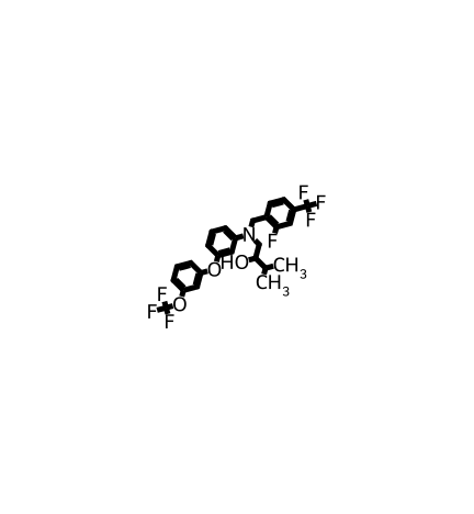 CC(C)C(O)CN(Cc1ccc(C(F)(F)F)cc1F)c1cccc(Oc2cccc(OC(F)(F)F)c2)c1